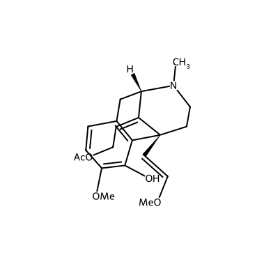 CO/C=C/[C@@]12CCN(C)[C@@H](Cc3ccc(OC)c(O)c31)/C2=C/COC(C)=O